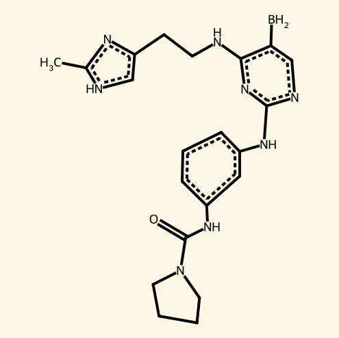 Bc1cnc(Nc2cccc(NC(=O)N3CCCC3)c2)nc1NCCc1c[nH]c(C)n1